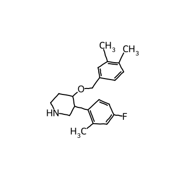 Cc1ccc(COC2CCNCC2c2ccc(F)cc2C)cc1C